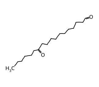 CCCCCCC(=O)CCCCCCCCCCC=O